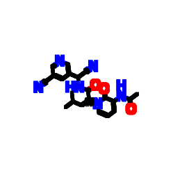 CC(=O)Nc1cccn([C@@H](CC(C)C)C(=O)NC(C#N)c2cncc(C#N)c2)c1=O